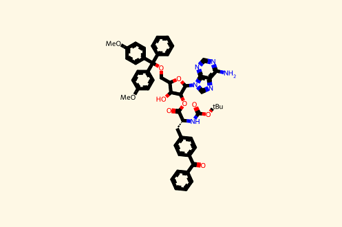 COc1ccc(C(OCC2OC(n3cnc4c(N)ncnc43)C(OC(=O)[C@@H](Cc3ccc(C(=O)c4ccccc4)cc3)NC(=O)OC(C)(C)C)C2O)(c2ccccc2)c2ccc(OC)cc2)cc1